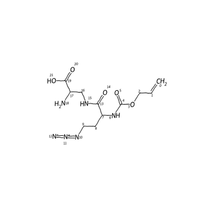 C=CCOC(=O)NC(CCN=[N+]=[N-])C(=O)NCC(N)C(=O)O